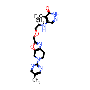 C[C@@H](COCc1nc2c(o1)CN(c1ncc(C(F)(F)F)cn1)CC2)Nc1cn[nH]c(=O)c1C(F)(F)F